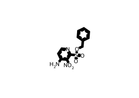 Nc1ccnc(S(=O)(=O)OCc2ccccc2)c1[N+](=O)[O-]